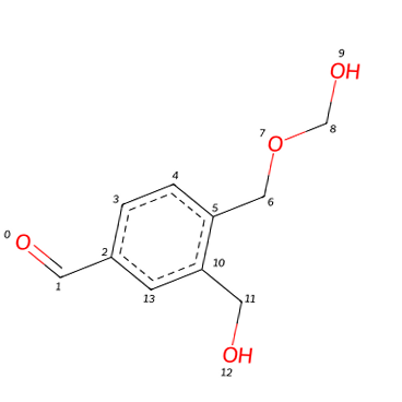 O=Cc1ccc(COCO)c(CO)c1